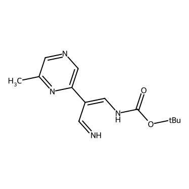 Cc1cncc(/C(C=N)=C/NC(=O)OC(C)(C)C)n1